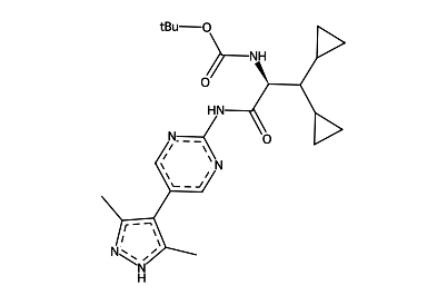 Cc1n[nH]c(C)c1-c1cnc(NC(=O)[C@@H](NC(=O)OC(C)(C)C)C(C2CC2)C2CC2)nc1